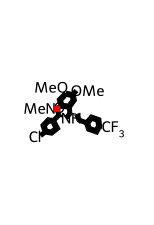 CNC(=O)[C@@H](N[C@@H](CCc1ccc(C(F)(F)F)cc1)c1ccc(OC)c(OC)c1)c1ccc(Cl)cc1